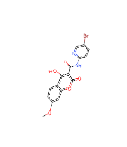 COc1ccc2c(O)c(C(=O)Nc3ccc(Br)cn3)c(=O)oc2c1